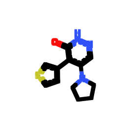 O=c1[nH]ncc(N2CCCC2)c1-c1ccsc1